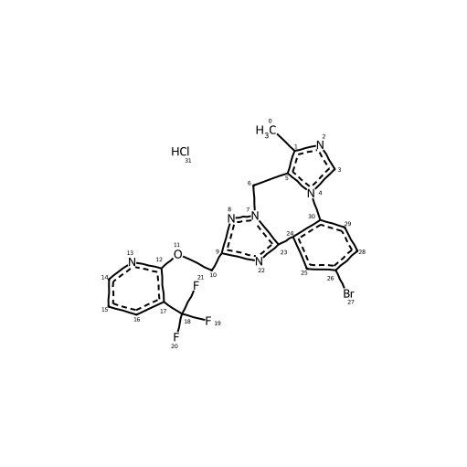 Cc1ncn2c1Cn1nc(COc3ncccc3C(F)(F)F)nc1-c1cc(Br)ccc1-2.Cl